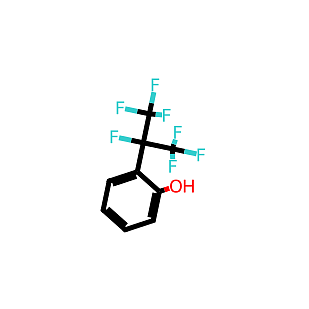 Oc1ccccc1C(F)(C(F)(F)F)C(F)(F)F